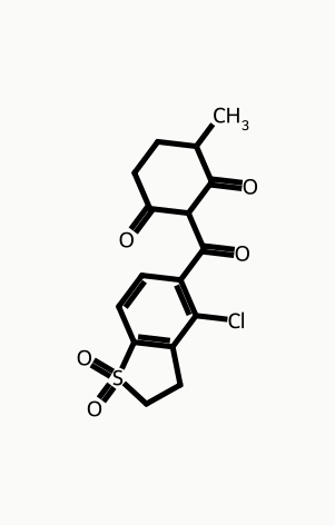 CC1CCC(=O)C(C(=O)c2ccc3c(c2Cl)CCS3(=O)=O)C1=O